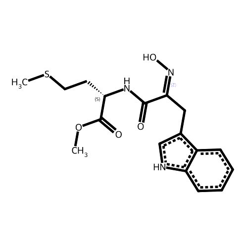 COC(=O)[C@H](CCSC)NC(=O)/C(Cc1c[nH]c2ccccc12)=N\O